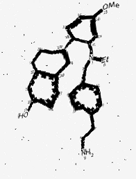 CCN(Cc1ccc(CCN)cc1)C1C=C(OC)C=CC1[C@@H]1CCc2cc(O)ccc2C1